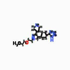 CCCOCCn1cc(-c2ccc(-c3nnn[nH]3)cc2)c(-c2ccncc2)n1